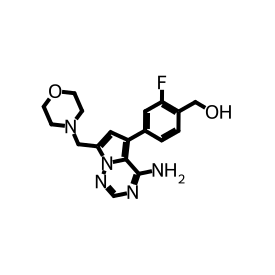 Nc1ncnn2c(CN3CCOCC3)cc(-c3ccc(CO)c(F)c3)c12